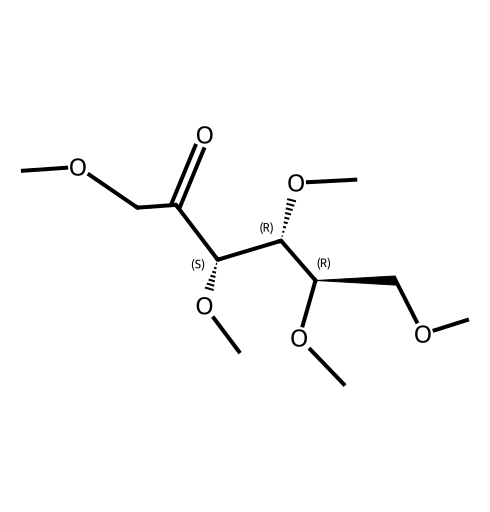 COCC(=O)[C@@H](OC)[C@H](OC)[C@@H](COC)OC